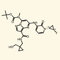 CN(C(=O)OC(C)(C)C)c1cc(Nc2cccn([C@@H]3C[C@H]3F)c2=O)nc2c(C(=O)NCC3(CO)CC3)cnn12